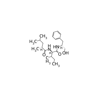 CCC(C)[C@@H](NC(=O)[C@H](C)CC(C)C)C(=O)N[C@@H](CO)Cc1ccccc1